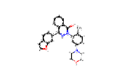 O=c1c2ccccc2c(-c2ccc3ccoc3c2)nn1-c1cc(N2CCOCC2)ccc1[N+](=O)[O-]